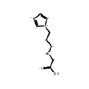 O=C(O)CNCCCn1ccnc1